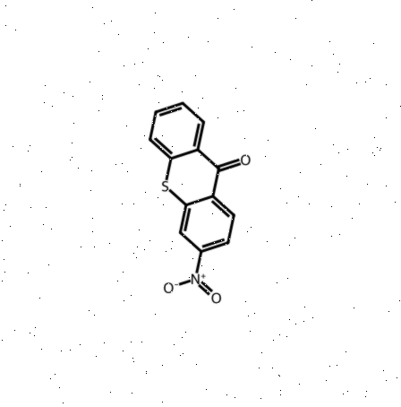 O=c1c2ccccc2sc2cc([N+](=O)[O-])ccc12